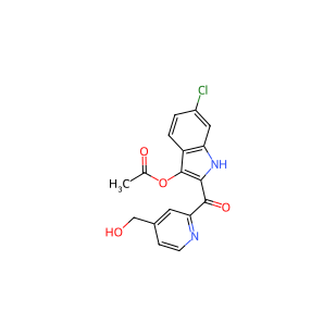 CC(=O)Oc1c(C(=O)c2cc(CO)ccn2)[nH]c2cc(Cl)ccc12